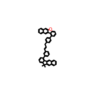 CC1(C)c2cc3ccccc3cc2-c2c(-c3cccc(/C=C/Cc4ccc(-c5cccc6oc7cc8ccccc8cc7c56)cc4)c3)cccc21